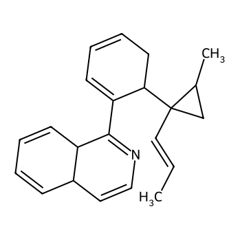 CC=CC1(C2CC=CC=C2C2=NC=CC3C=CC=CC23)CC1C